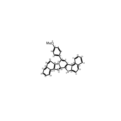 COc1ccc(-c2cc3c(sc4ccc5ccccc5c43)c3nc4c5ccccc5ccc4n23)cc1